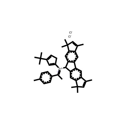 CC1=CC(C)(C)c2cc3c(cc21)-c1cc2c(cc1[CH]3/[Zr+2]([C]1=CC(C(C)(C)C)=CC1)=[C](\C)c1ccc(C)cc1)C(C)(C)C=C2C.[Cl-].[Cl-]